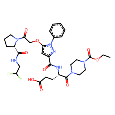 CCOC(=O)N1CCN(C(=O)[C@H](CCC(=O)O)NC(=O)c2cc(OCC(=O)N3CCC[C@H]3C(=O)NCC(F)F)n(-c3ccccc3)n2)CC1